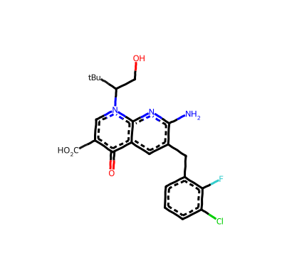 CC(C)(C)C(CO)n1cc(C(=O)O)c(=O)c2cc(Cc3cccc(Cl)c3F)c(N)nc21